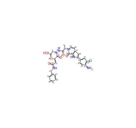 CC(C(=O)NN(CC(=O)O)C(=O)C=CC(=O)NCc1ccccc1)n1ccc2cc(-c3ccc(N)c(Cl)c3)[nH]c2c1=O